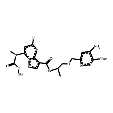 COc1nnc(COCC(C)NC(=O)c2cnn3c(N(C)C(=O)OC(C)(C)C)cc(Cl)nc23)cc1N